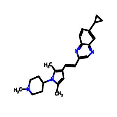 Cc1cc(C=Cc2cnc3cc(C4CC4)ccc3n2)c(C)n1C1CCN(C)CC1